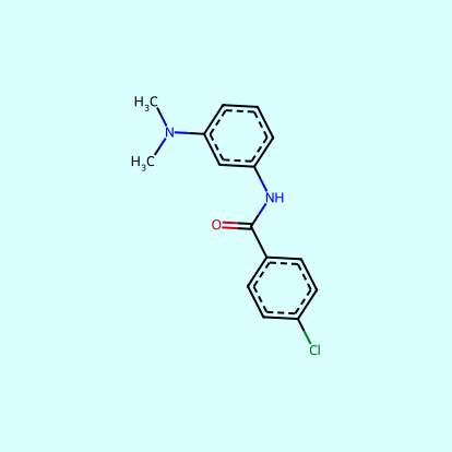 CN(C)c1cccc(NC(=O)c2ccc(Cl)cc2)c1